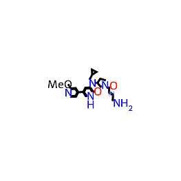 COc1cc(-c2c[nH]c(=O)c(N(CC3CC3)C3CCN(C(=O)/C=C/CN)C3)c2)ccn1